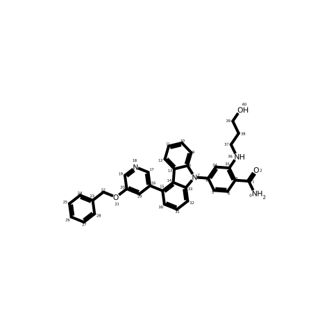 NC(=O)c1ccc(-n2c3ccccc3c3c(-c4cncc(OCc5ccccc5)c4)cccc32)cc1NCCCO